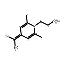 [C-]#[N+]C([N+]#[C-])=C1C=C(C)N(CCOC)C(C)=C1